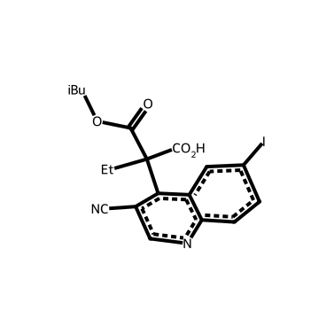 CCC(C)OC(=O)C(CC)(C(=O)O)c1c(C#N)cnc2ccc(I)cc12